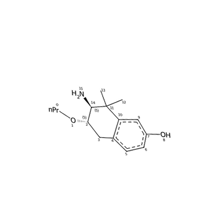 CCCO[C@H]1Cc2ccc(O)cc2C(C)(C)[C@@H]1N